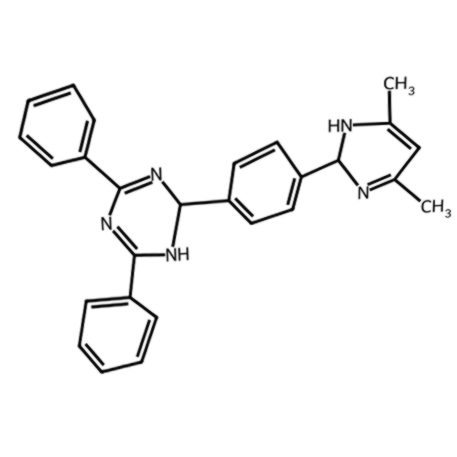 CC1=CC(C)=NC(c2ccc(C3N=C(c4ccccc4)N=C(c4ccccc4)N3)cc2)N1